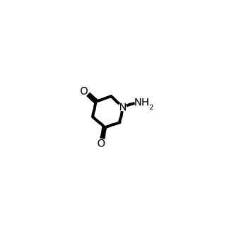 NN1CC(=O)CC(=O)C1